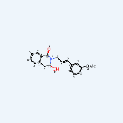 COc1cccc(/C=C/CN2C(=O)c3ccccc3CC2O)c1